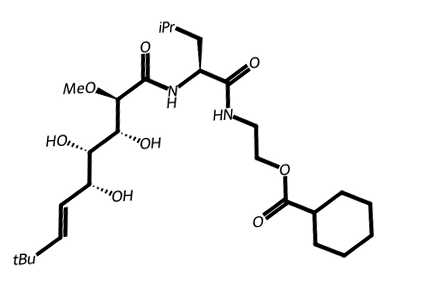 CO[C@@H](C(=O)N[C@@H](CC(C)C)C(=O)NCCOC(=O)C1CCCCC1)[C@H](O)[C@@H](O)[C@H](O)/C=C/C(C)(C)C